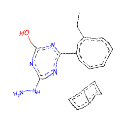 CCc1ccccc1-c1nc(O)nc(NN)n1.c1cc2ccc1-2